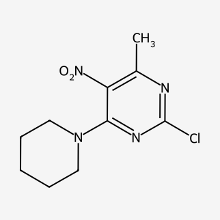 Cc1nc(Cl)nc(N2CCCCC2)c1[N+](=O)[O-]